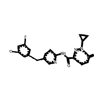 O=C(Nc1ccc(Cc2cc(F)cc(Cl)c2)cn1)c1ccc(=O)n(C2CC2)n1